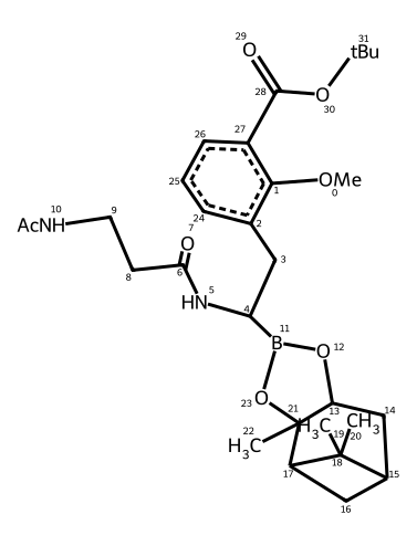 COc1c(CC(NC(=O)CCNC(C)=O)B2OC3CC4CC(C4(C)C)C3(C)O2)cccc1C(=O)OC(C)(C)C